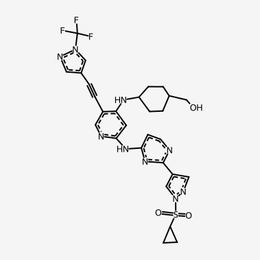 O=S(=O)(C1CC1)n1cc(-c2nccc(Nc3cc(NC4CCC(CO)CC4)c(C#Cc4cnn(C(F)(F)F)c4)cn3)n2)cn1